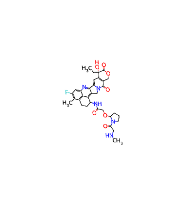 CC[C@@]1(O)C(=O)OCc2c1cc1n(c2=O)Cc2c-1nc1cc(F)c(C)c3c1c2[C@@H](NC(=O)COC1CCCN1C(=O)CNC)CC3